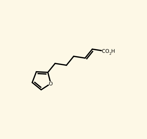 O=C(O)/C=C/CCCc1ccco1